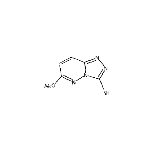 COc1ccc2nnc(S)n2n1